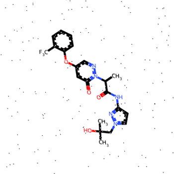 CC(C(=O)Nc1ccn(CC(C)(C)O)n1)n1ncc(Oc2ccccc2C(F)(F)F)cc1=O